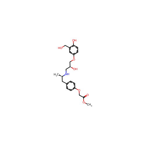 COC(=O)COc1ccc(C[C@@H](C)NC[C@H](O)COc2ccc(O)c(CO)c2)cc1